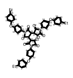 CCc1ccc(Oc2ccc(N3C(=O)C(CC)C(C4C(=O)N(c5ccc(Oc6ccc(CC)cc6)cc5)C(=O)C4C4C(=O)N(c5ccc(Oc6ccc(CC)cc6)cc5)C(=O)C4CC)C3=O)cc2)cc1